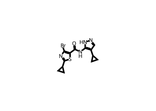 O=C(Nc1[nH]ncc1C1CC1)c1sc(C2CC2)nc1Br